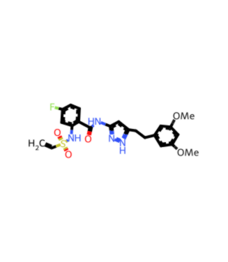 C=CS(=O)(=O)Nc1cc(F)ccc1C(=O)Nc1cc(CCc2cc(OC)cc(OC)c2)[nH]n1